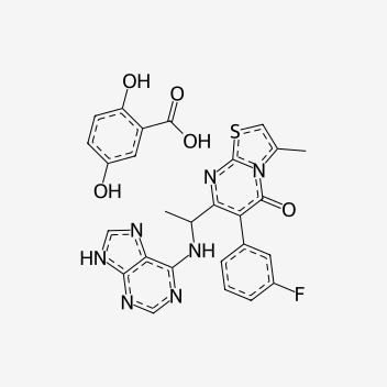 Cc1csc2nc(C(C)Nc3ncnc4[nH]cnc34)c(-c3cccc(F)c3)c(=O)n12.O=C(O)c1cc(O)ccc1O